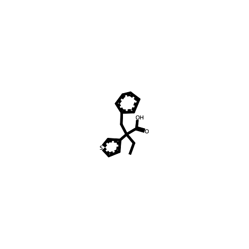 CCC(Cc1ccccc1)(C(=O)O)c1ccsc1